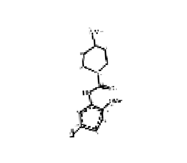 CNC1CCN(C(=O)Nc2cc(Cl)ccc2OC)CC1